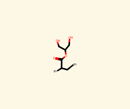 CC(C)CC(C(=O)OC(CO)CO)C(C)C